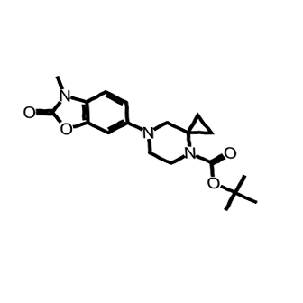 Cn1c(=O)oc2cc(N3CCN(C(=O)OC(C)(C)C)C4(CC4)C3)ccc21